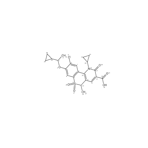 CC(Oc1cc2c(cc1Cl)-c1c(cc(C(=O)O)c(=O)n1C1CC1)C(C)S2(=O)=O)C1CC1